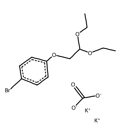 CCOC(COc1ccc(Br)cc1)OCC.O=C([O-])[O-].[K+].[K+]